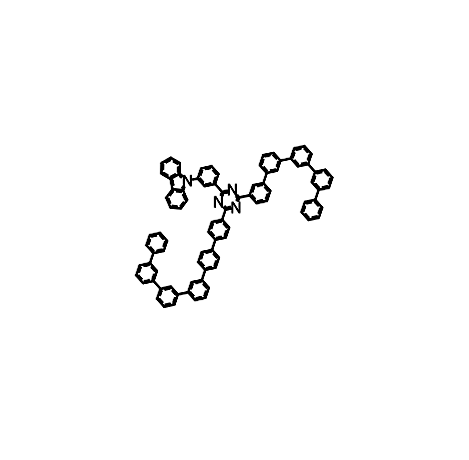 c1ccc(-c2cccc(-c3cccc(-c4cccc(-c5ccc(-c6ccc(-c7nc(-c8cccc(-c9cccc(-c%10cccc(-c%11cccc(-c%12ccccc%12)c%11)c%10)c9)c8)nc(-c8cccc(-n9c%10ccccc%10c%10ccccc%109)c8)n7)cc6)cc5)c4)c3)c2)cc1